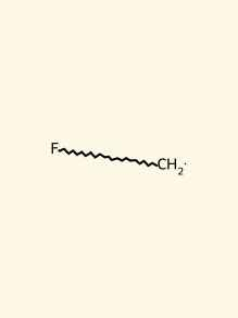 [CH2]CCCCCCCCCCCCCCCCCCCCCCCF